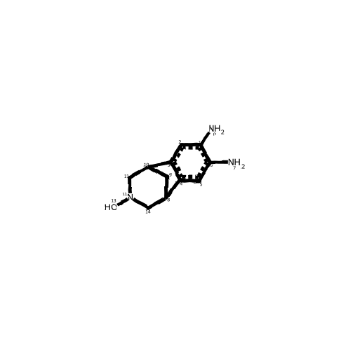 Nc1cc2c(cc1N)C1CC2CN(O)C1